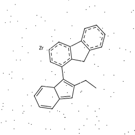 CCC1=C(c2cccc3c2Cc2ccccc2-3)C2C=CC=CC2=C1.[Zr]